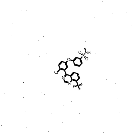 CNS(=O)(=O)c1cccc(Oc2ccc(Cl)c(-c3ncnc4c(C(F)(F)F)cccc34)c2)c1